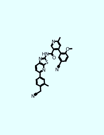 COc1ccc(C#N)cc1-c1cc(C)ncc1C(=O)Nc1nc2ccc(-c3ccc(CC#N)c(C)c3)nc2s1